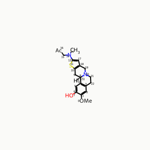 COc1cc2c(cc1O)[C@@H]1Cc3sc(N(C)CC(C)=O)cc3CN1CC2